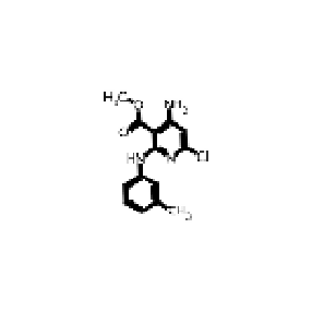 COC(=O)c1c(N)cc(Cl)nc1Nc1cccc(C)c1